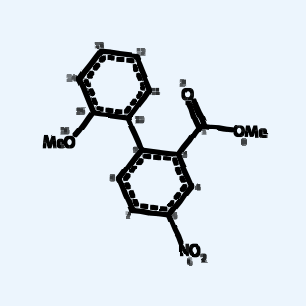 COC(=O)c1cc([N+](=O)[O-])ccc1-c1ccccc1OC